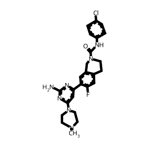 CN1CCN(c2cc(-c3cc4c(cc3F)CCN(C(=O)Nc3ccc(Cl)cc3)C4)nc(N)n2)CC1